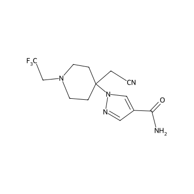 N#CCC1(n2cc(C(N)=O)cn2)CCN(CC(F)(F)F)CC1